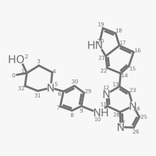 CC1(O)CCN(c2ccc(Nc3nc(-c4ccc5cc[nH]c5c4)cn4ccnc34)cc2)CC1